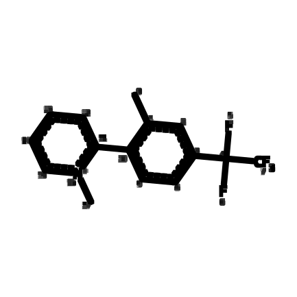 Cc1cc(C(F)(F)C(F)(F)F)ccc1-c1cccc[n+]1C